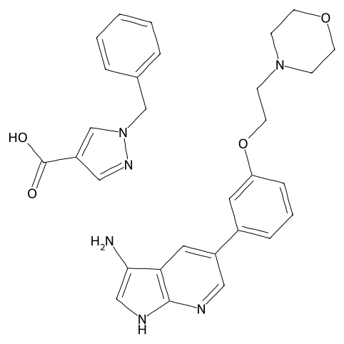 Nc1c[nH]c2ncc(-c3cccc(OCCN4CCOCC4)c3)cc12.O=C(O)c1cnn(Cc2ccccc2)c1